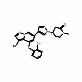 CN1CC[C@@H](n2cc(-c3cc(Sc4ccccc4C#N)c4c(C#N)cnn4c3)cn2)CC1=O